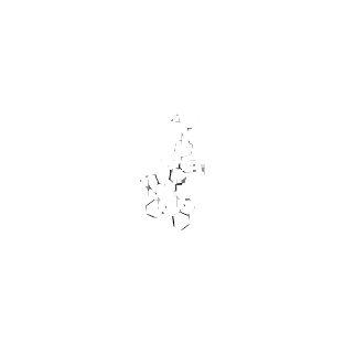 CCOC(=O)c1cnn(-c2cccc(-c3cccc4c3N(Cc3ccc(C5CCN(C(=O)C6CC6)CC5)c(CC)c3)CC4)n2)c1C(F)(F)F